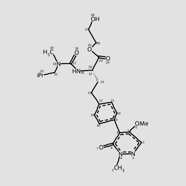 COc1cnn(C)c(=O)c1-c1ccc(CC[C@H](NC(=O)N(C)CC(C)C)C(=O)OCCO)cc1